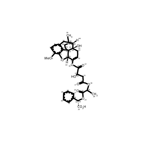 COc1ccc2c3c1O[C@H]1C(OC(=O)C(O)CC(=O)OC(C)C(=O)O[C@H](C(=O)O)c4ccccc4)=CC[C@@]4(O)[C@@H](C2)N(C)CC[C@]314